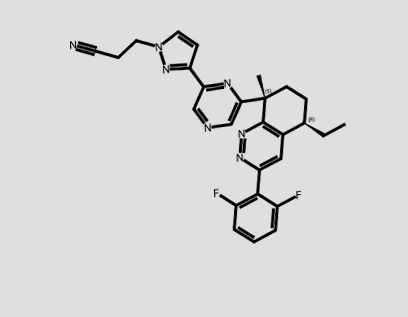 CC[C@@H]1CC[C@@](C)(c2cncc(-c3ccn(CCC#N)n3)n2)c2nnc(-c3c(F)cccc3F)cc21